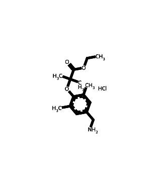 CCOC(=O)C(C)(C)Oc1c(C)cc(CN)cc1C.Cl